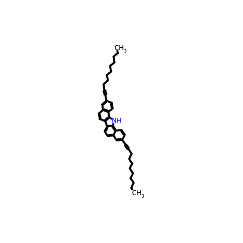 CCCCCCCCCC#Cc1ccc2c(ccc3c4ccc5cc(C#CCCCCCCCCC)ccc5c4[nH]c23)c1